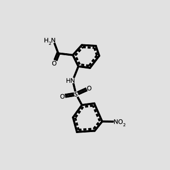 NC(=O)c1ccccc1NS(=O)(=O)c1cccc([N+](=O)[O-])c1